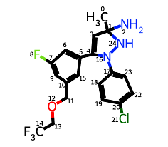 CC1(N)C=C(c2cc(F)cc(COCC(F)(F)F)c2)N(c2ccc(Cl)cc2)N1